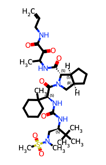 C=CCNC(=O)C(=O)C(C)NC(=O)[C@@H]1[C@H]2CCC[C@H]2CN1C(=O)[C@@H](NC(=O)N[C@H](CN(C)S(C)(=O)=O)C(C)(C)C)C1(C)CCCCC1